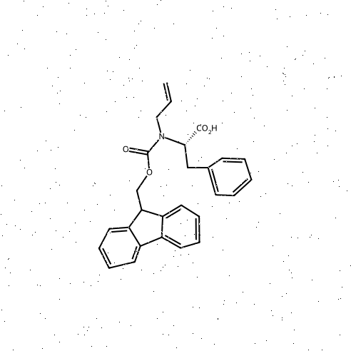 C=CCN(C(=O)OCC1c2ccccc2-c2ccccc21)[C@@H](Cc1ccccc1)C(=O)O